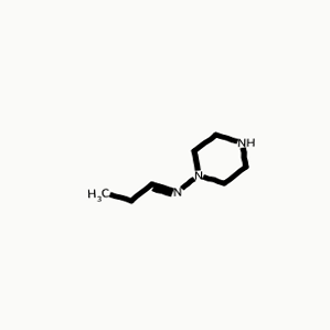 CC/C=N/N1CCNCC1